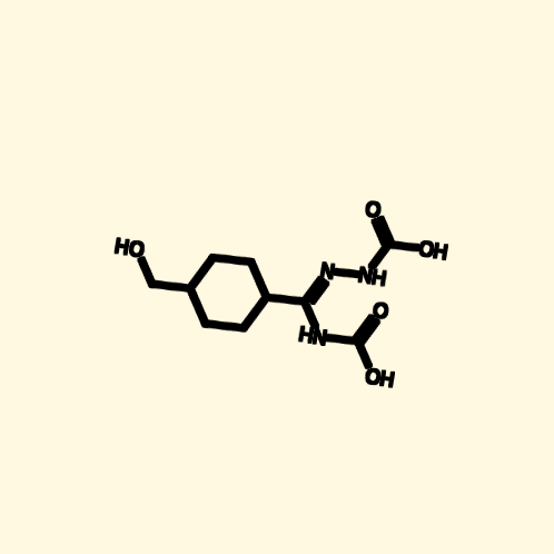 O=C(O)NN=C(NC(=O)O)C1CCC(CO)CC1